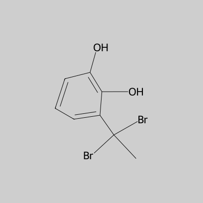 CC(Br)(Br)c1cccc(O)c1O